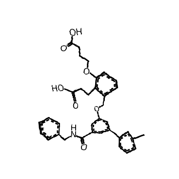 Cc1cccc(-c2cc(OCc3cccc(OCCCC(=O)O)c3CCC(=O)O)cc(C(=O)NCc3ccccc3)c2)c1